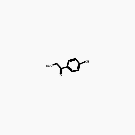 COCC(=O)c1ccc(C#N)cc1